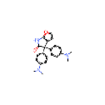 CN(C)c1ccc(C2(c3ccc(N(C)C)cc3)C(=O)Nc3occc32)cc1